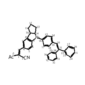 CC(=O)/C(C#N)=C/c1ccc2c(c1)C1CCCC1N2c1ccc(C=C(c2ccccc2)c2ccccc2)cc1